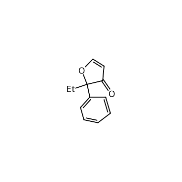 CCC1(c2ccccc2)OC=CC1=O